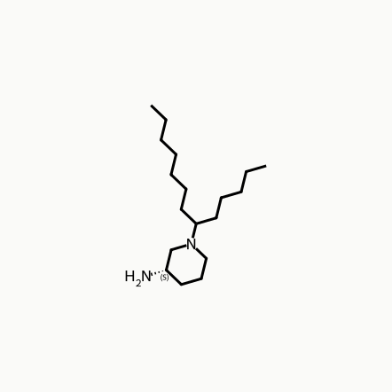 CCCCCCCC(CCCCC)N1CCC[C@H](N)C1